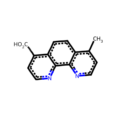 Cc1ccnc2c1ccc1c(C(=O)O)ccnc12